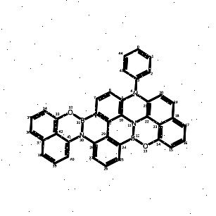 c1ccc(N2c3ccc4c5c3N3B(Oc6cccc7ccc2c3c67)c2cccc(c2-5)N2B4Oc3cccc4cccc2c34)cc1